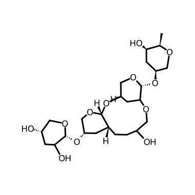 C[C@H]1OC[C@@H](O[C@H]2OC[C@@H]3CC2OCC(O)CC[C@@H]2C[C@H](O[C@H]4OC[C@@H](O)CC4O)CO[C@@H]2O3)C[C@H]1O